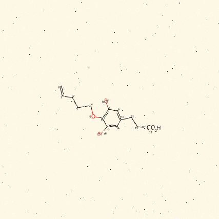 C=CCCCOc1c(Br)cc(CCC(=O)O)cc1Br